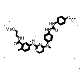 COCCNC(=O)c1cc(NC2=NCCC(N(C)c3ccc(NC(=O)Nc4ccc(OC(F)(F)F)cc4)cc3)=N2)ccc1C